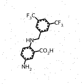 Nc1ccc(NCc2cc(C(F)(F)F)cc(C(F)(F)F)c2)c(C(=O)O)c1